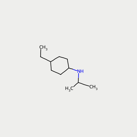 CCC1CCC(NC(C)C)CC1